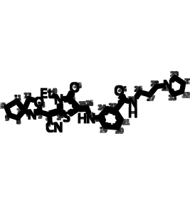 CCn1c(=C(C#N)C2=NC3(CCCC3)CO2)sc(=CNc2cccc(C(=O)NCCCN3CCCC3)c2)c1=O